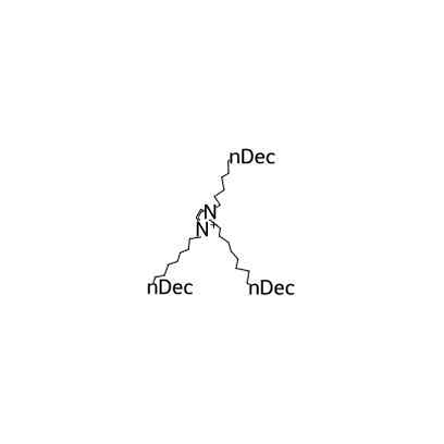 CCCCCCCCCCCCCCCCCCc1n(CCCCCCCCCCCCCCCC)cc[n+]1CCCCCCCCCCCCCCCCCC